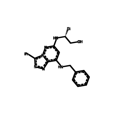 CC[C@H](CO)Nc1cc(NCc2ccccc2)c2nnc(C(C)C)n2n1